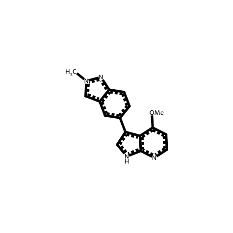 COc1ccnc2[nH]cc(-c3ccc4nn(C)cc4c3)c12